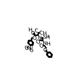 C=C(C)C(C(=O)OCc1ccc([N+](=O)[O-])cc1)N1C(=O)C(NC(=O)COc2ccccc2)C1S